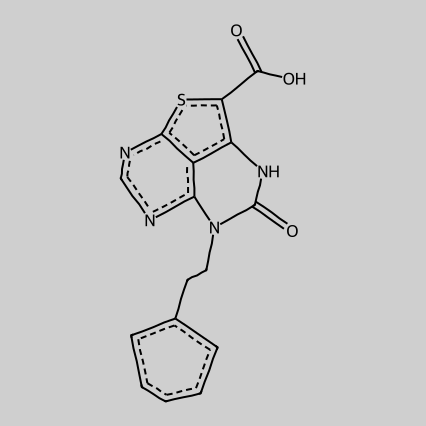 O=C(O)c1sc2ncnc3c2c1NC(=O)N3CCc1ccccc1